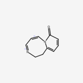 O=c1cccc2n1/C=C\C=N/CC2